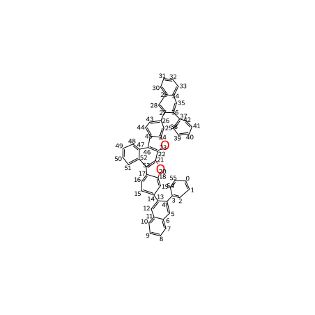 c1ccc(-c2cc3ccccc3cc2-c2ccc3c(c2)oc2c4oc5cc(-c6cc7ccccc7cc6-c6ccccc6)ccc5c4c4ccccc4c32)cc1